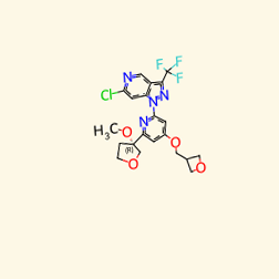 CO[C@@]1(c2cc(OCC3COC3)cc(-n3nc(C(F)(F)F)c4cnc(Cl)cc43)n2)CCOC1